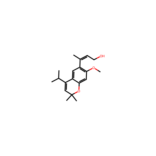 COc1cc2c(cc1/C(C)=C\CO)C(C(C)C)=CC(C)(C)O2